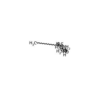 CCCCCCCCCCCCCCCCCCCC(=O)OC[C@](C)(CC)[C@H](N)C(=O)c1cnc(=O)[nH]c1N